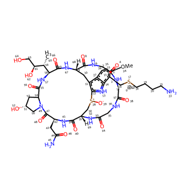 CC[C@H](C)[C@@H]1NC(=O)CNC(=O)[C@@H]2Cc3c([nH]c4c(CSCCCCN)c(OC)ccc34)[S+]([O-])C[C@H](NC(=O)CNC1=O)C(=O)N[C@@H](CC(N)=O)C(=O)N1C[C@H](O)CC1C(=O)N[C@@H]([C@@H](C)[C@@H](O)CO)C(=O)N2